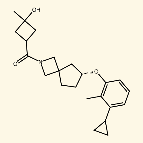 Cc1c(O[C@@H]2CCC3(C2)CN(C(=O)C2CC(C)(O)C2)C3)cccc1C1CC1